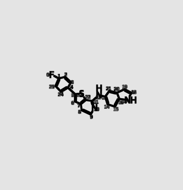 Fc1ccc(-c2cc3ccnc(Nc4ccc5[nH]ccc5c4)c3s2)cc1